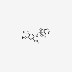 Cc1cc(OC[Si](C)(C)c2ccccc2)c(C)cc1O